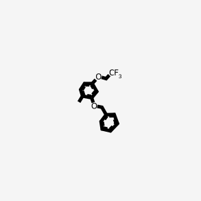 Cc1ccc(OCC(F)(F)F)cc1OCc1ccccc1